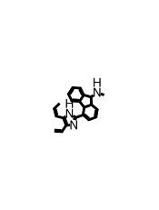 C=Cc1nc(C2=CC=CC3C(NC)c4ccccc4C23)[nH]c1/C=C\C